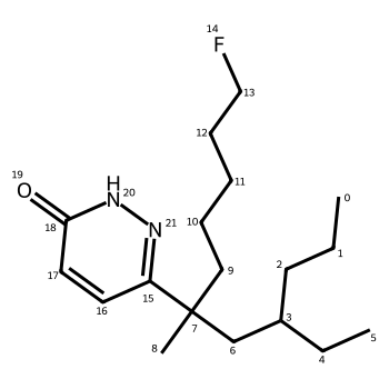 CCCC(CC)CC(C)(CCCCCF)c1ccc(=O)[nH]n1